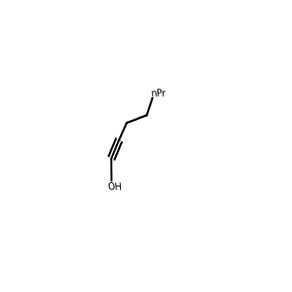 CCCCCC#CO